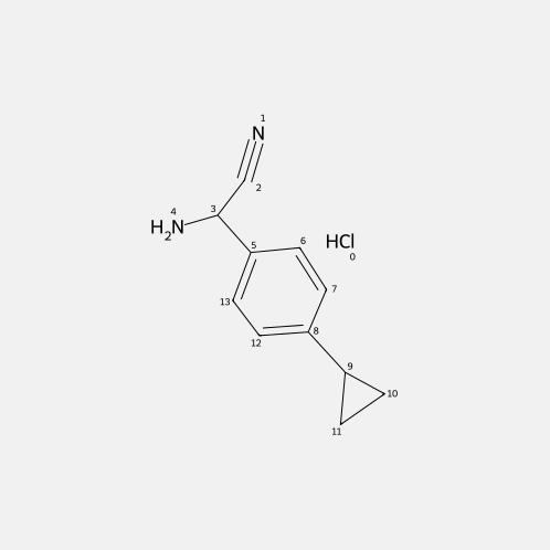 Cl.N#CC(N)c1ccc(C2CC2)cc1